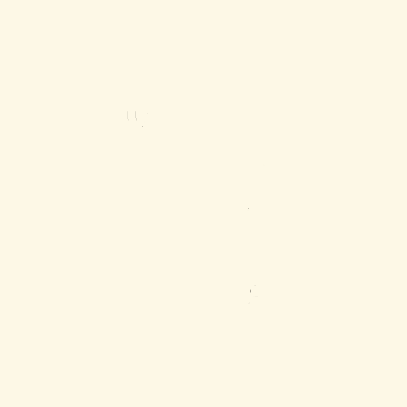 [CH2]c1ccc(CCl)cc1